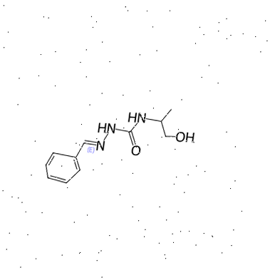 CC(CO)NC(=O)N/N=C/c1ccccc1